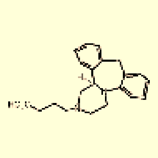 O=C(O)CCCN1CCN2c3ccccc3Cc3ccccc3[C@@H]2C1